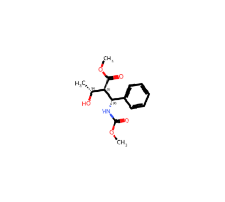 COC(=O)N[C@@H](c1ccccc1)[C@H](C(=O)OC)[C@@H](C)O